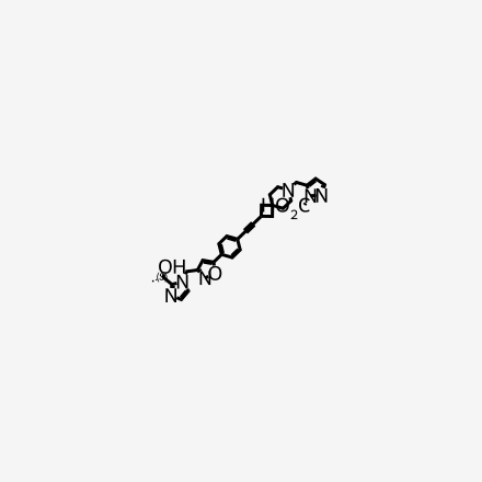 C[C@H](O)c1nccn1Cc1cc(-c2ccc(C#CC3CC4(CCN(Cc5ccnn5C(=O)O)CC4)C3)cc2)on1